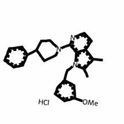 COc1cccc(Cn2c(C)c(C)c3ccnc(N4CCC(c5ccccc5)CC4)c32)c1.Cl